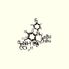 CCCCC1(CCCC)CN(c2ccc(F)cc2)c2cc(C)c(CNC(=O)C(=O)O)cc2S(=O)(=O)C1